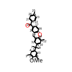 COc1c(C)cc(C(C)(C)c2cc(C)c(Oc3ccc(C(=O)c4ccc(C)cc4)cc3)c(C)c2)cc1C